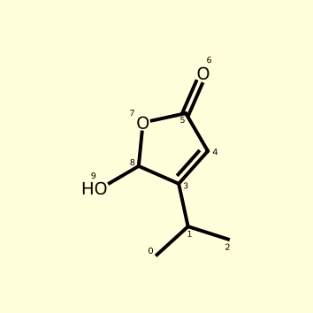 CC(C)C1=CC(=O)OC1O